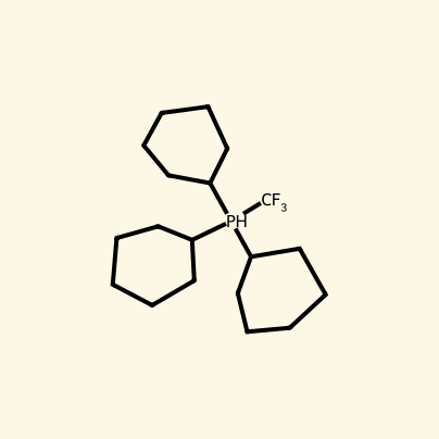 FC(F)(F)[PH](C1CCCCC1)(C1CCCCC1)C1CCCCC1